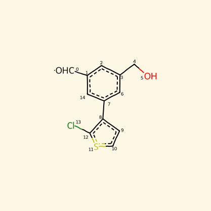 O=[C]c1cc(CO)cc(-c2ccsc2Cl)c1